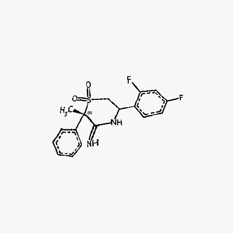 C[C@]1(c2ccccc2)C(=N)NC(c2ccc(F)cc2F)CS1(=O)=O